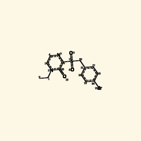 CCn1ccnc(S(=O)(=O)Cc2ccc(Br)cc2)c1=O